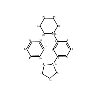 [c]1ccc(N2CCCC2)c(-c2ccccc2)c1N1CCCCC1